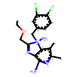 CCOCC1=Nc2c(N)nc(C)c(C)c2[N+]1(N)Cc1ccc(Cl)c(Cl)c1